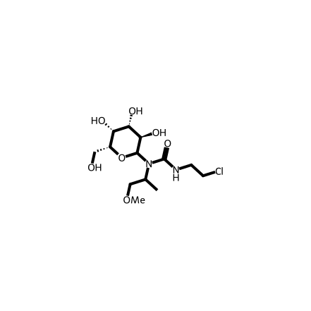 COCC(C)N(C(=O)NCCCl)C1O[C@H](CO)[C@H](O)[C@H](O)[C@H]1O